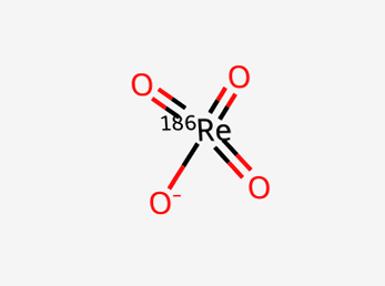 [O]=[186Re](=[O])(=[O])[O-]